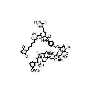 CC[C@H](C)[C@@H]([C@@H](CC(=O)N1CCC[C@H]1[C@H](OC)[C@@H](C)C(=O)N[C@H](C)/C(=N/O)c1cccc(OC)c1)OC)N(C)C(=O)[C@@H](NC(=O)[C@H](C(C)C)N(C)C(=O)OCc1ccc(NC(=O)[C@H](CCCNC(N)=O)NC(=O)[C@@H](NC(=O)CCCCCN2C(=O)C=CC2=O)C(C)C)cc1)C(C)C